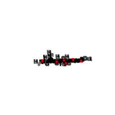 CCCCCCCC/C=C\CCCCCCCC(=O)NC(CS)C(=O)NCCNC(=O)CCN(CCN)CCC(=O)NCCN